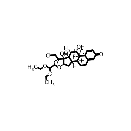 CCOC(CO[C@@H]1C[C@H]2[C@@H]3CCC4=CC(=O)C=C[C@]4(C)[C@@]3(F)[C@@H](O)C[C@]2(C)[C@@]1(O)C(=O)CCl)OCC